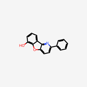 Oc1cccc2c1oc1ccc(-c3ccccc3)nc12